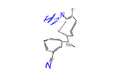 C[C@@H](c1cccc(C#N)c1)c1ccc(F)c(N)c1